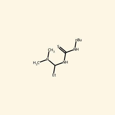 CCCCNC(=S)NC(CC)N(C)C